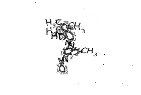 Cc1ccc2c(N=Nc3ccccc3)ccc(N=Nc3ccc4c(C)cc(C)c(C)c4c3O)c2c1